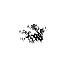 CCCc1nc(CC)c(C(=O)OCC)n1Cc1ccc(-c2ccccc2S(=O)(=O)N(COCC[Si](C)(C)C)c2onc(C)c2C)c(CC)c1